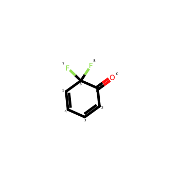 O=C1C=CC=CC1(F)F